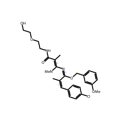 CNC(/N=C(OCc1cccc(OC)c1)\C(C)=C/c1ccc(Cl)cc1)=C(/C)C(=O)NCCOCCO